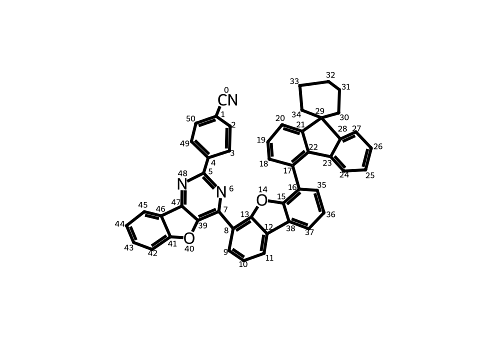 N#Cc1ccc(-c2nc(-c3cccc4c3oc3c(-c5cccc6c5-c5ccccc5C65CCCCC5)cccc34)c3oc4ccccc4c3n2)cc1